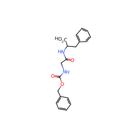 O=C(CNC(=O)OCc1ccccc1)NC(Cc1[c]cccc1)C(=O)O